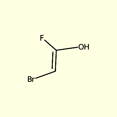 OC(F)=CBr